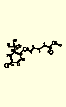 COC(=O)CCCCOc1ccc(Cl)cc1C(C)(C)C